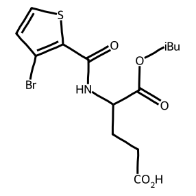 CCC(C)OC(=O)C(CCC(=O)O)NC(=O)c1sccc1Br